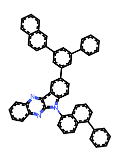 c1ccc(-c2cc(-c3ccc4ccccc4c3)cc(-c3ccc4c(c3)c3nc5ccccc5nc3n4-c3cccc4c(-c5ccccc5)cccc34)c2)cc1